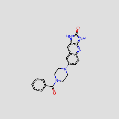 O=C(c1ccccc1)N1CCN(c2ccc3nc4[nH]c(=O)[nH]c4cc3c2)CC1